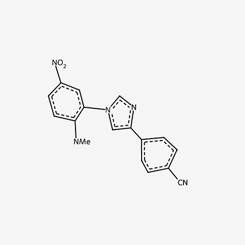 CNc1ccc([N+](=O)[O-])cc1-n1cnc(-c2ccc(C#N)cc2)c1